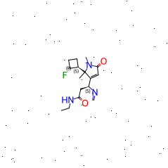 C=N[C@@H](CC(=O)NCC)C1=CC(=O)N(C)C1(C)[C@@H]1CC[C@H]1F